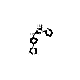 C[C@@H]1CN(c2ccc(Nc3nc(N)n(-c4ccccn4)n3)cc2)C[C@H](C)O1